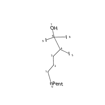 CCCCCCCCC(I)C(O)(I)I